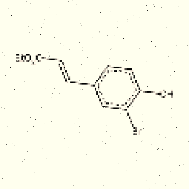 CCOC(=O)/C=C/c1ccc(O)c(Br)c1